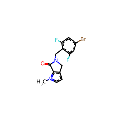 Cn1ccc2c1C(=O)N(Cc1c(F)cc(Br)cc1F)C2